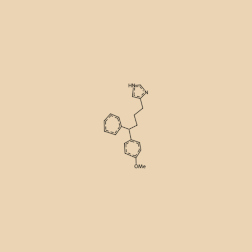 COc1ccc(C(CCCc2c[nH]cn2)c2ccccc2)cc1